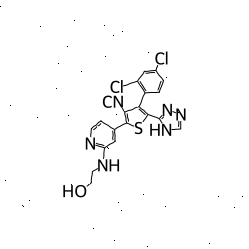 [C-]#[N+]c1c(-c2ccnc(NCCO)c2)sc(-c2nnc[nH]2)c1-c1ccc(Cl)cc1Cl